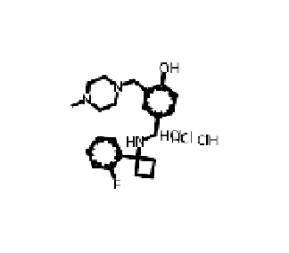 CN1CCN(Cc2cc(CNC3(c4ccccc4F)CCC3)ccc2O)CC1.Cl.Cl.Cl